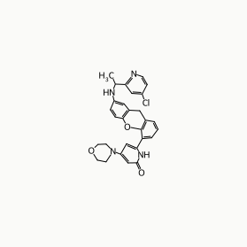 CC(Nc1ccc2c(c1)Cc1cccc(-c3cc(N4CCOCC4)cc(=O)[nH]3)c1O2)c1cc(Cl)ccn1